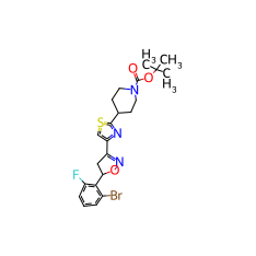 CC(C)(C)OC(=O)N1CCC(c2nc(C3=NOC(c4c(F)cccc4Br)C3)cs2)CC1